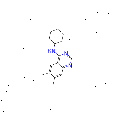 Cc1cc2ncnc(NC3CCCCC3)c2cc1C